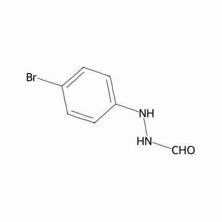 O=CNNc1ccc(Br)cc1